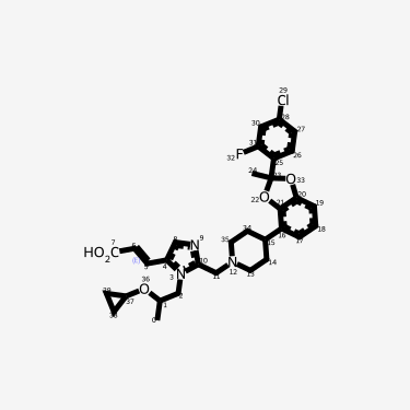 CC(Cn1c(/C=C/C(=O)O)cnc1CN1CCC(c2cccc3c2OC(C)(c2ccc(Cl)cc2F)O3)CC1)OC1CC1